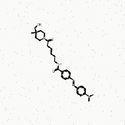 CN(C)c1ccc(/N=N/c2ccc(C(=O)NCCCCCC(=O)N3CCC(C)(CO)CC3)cc2)cc1